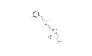 Cc1cccc(CCNC(=O)CCc2nnc(CCC(C)C)n2C2CC2)c1